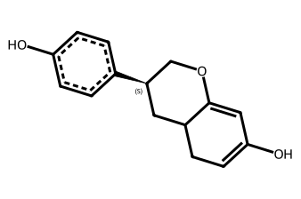 OC1=CCC2C[C@@H](c3ccc(O)cc3)COC2=C1